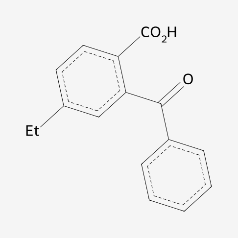 CCc1ccc(C(=O)O)c(C(=O)c2ccccc2)c1